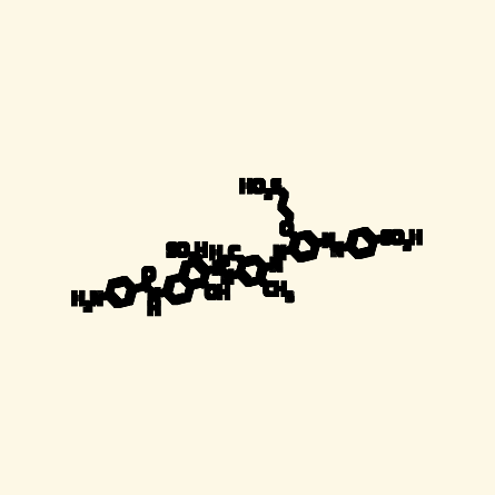 Cc1cc(N=Nc2c(S(=O)(=O)O)cc3cc(NC(=O)c4ccc(N)cc4)ccc3c2O)c(C)cc1N=Nc1ccc(N=Nc2ccc(S(=O)(=O)O)cc2)cc1OCCCS(=O)(=O)O